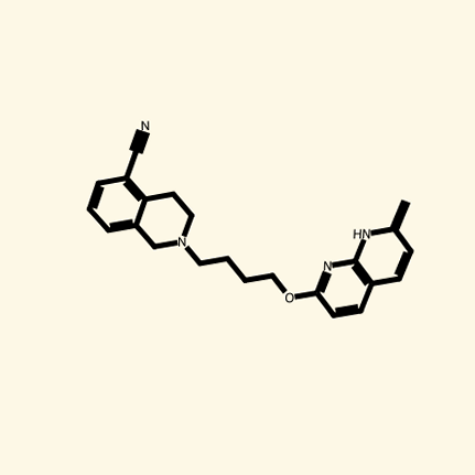 C=C1C=Cc2ccc(OCCCCN3CCc4c(C#N)cccc4C3)nc2N1